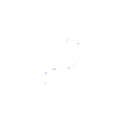 CC/C=C\C/C=C\C/C=C\CC(C)C/C=C/C=C\CCCCCC(=O)O